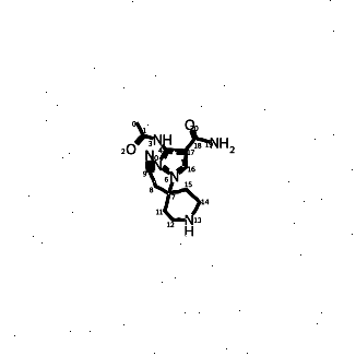 CC(=O)Nc1nn(C2(CC#N)CCNCC2)cc1C(N)=O